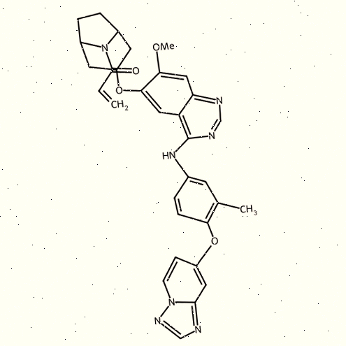 C=CC(=O)N1C2CCC1CC(Oc1cc3c(Nc4ccc(Oc5ccn6ncnc6c5)c(C)c4)ncnc3cc1OC)C2